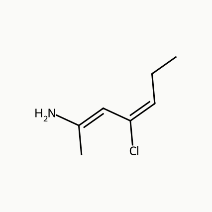 CC/C=C(Cl)\C=C(/C)N